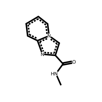 CNC(=O)c1cn2ccccc2n1